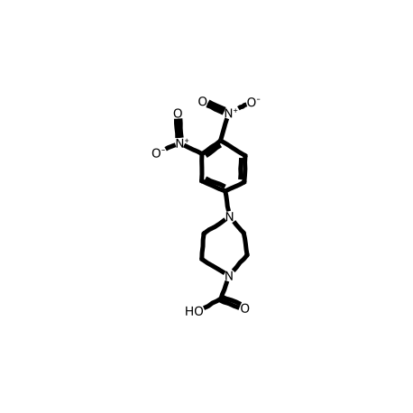 O=C(O)N1CCN(c2ccc([N+](=O)[O-])c([N+](=O)[O-])c2)CC1